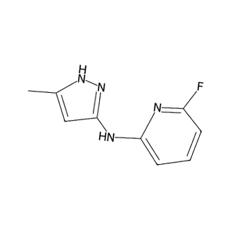 Cc1cc(Nc2cccc(F)n2)n[nH]1